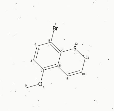 COc1ccc(Br)c2c1C=CCS2